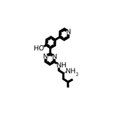 CC(C)C[C@@H](N)CNc1ccnc(-c2cc(-c3ccncc3)ccc2O)n1